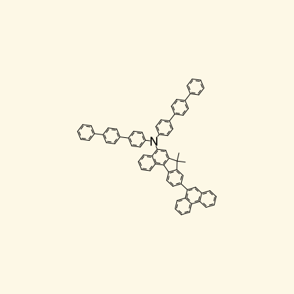 CC1(C)c2cc(-c3cc4ccccc4c4ccccc34)ccc2-c2c1cc(N(c1ccc(-c3ccc(-c4ccccc4)cc3)cc1)c1ccc(-c3ccc(-c4ccccc4)cc3)cc1)c1ccccc21